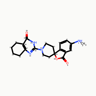 CNc1ccc2c(c1)C(=O)OC21CCN(c2nc3c(c(=O)[nH]2)CCCC3)CC1